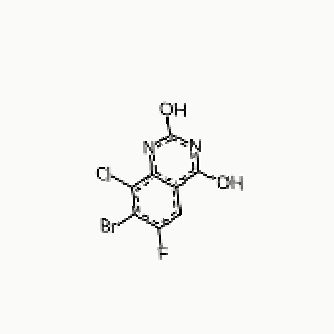 Oc1nc(O)c2cc(F)c(Br)c(Cl)c2n1